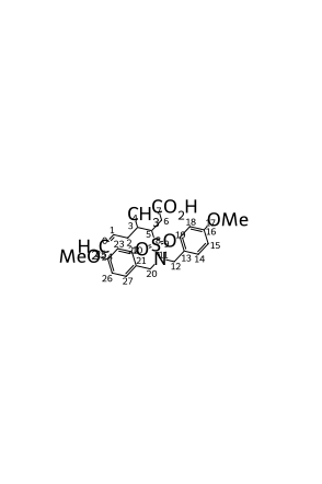 C=CCC(C)C(CC(=O)O)S(=O)(=O)N(Cc1ccc(OC)cc1)Cc1ccc(OC)cc1